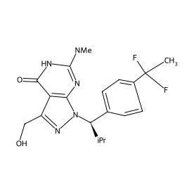 CNc1nc2c(c(CO)nn2[C@@H](c2ccc(C(C)(F)F)cc2)C(C)C)c(=O)[nH]1